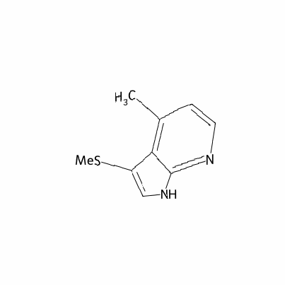 CSc1c[nH]c2nccc(C)c12